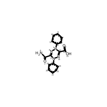 NC(=O)C1=NN(c2ccccc2)C(C(=O)O)=NN1c1ccccc1